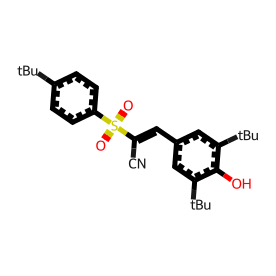 CC(C)(C)c1ccc(S(=O)(=O)/C(C#N)=C/c2cc(C(C)(C)C)c(O)c(C(C)(C)C)c2)cc1